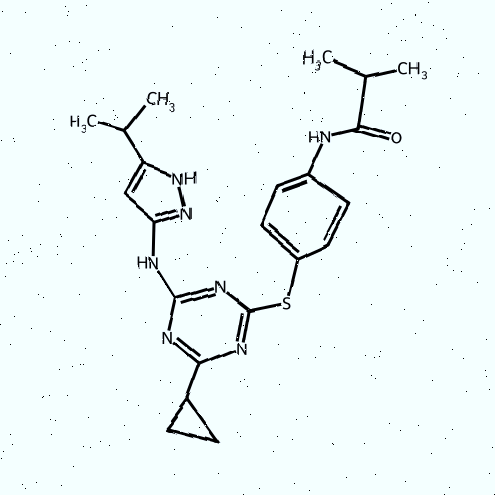 CC(C)C(=O)Nc1ccc(Sc2nc(Nc3cc(C(C)C)[nH]n3)nc(C3CC3)n2)cc1